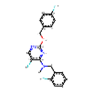 CN(Cc1ccccc1F)c1nc(OCc2ccc(F)cc2)ncc1F